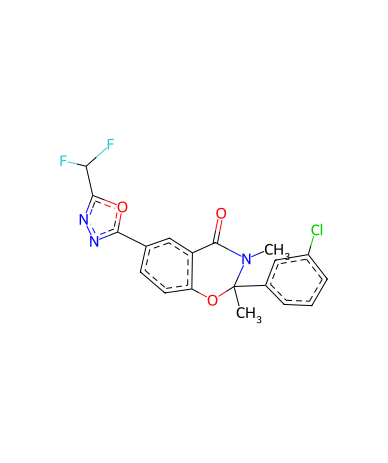 CN1C(=O)c2cc(-c3nnc(C(F)F)o3)ccc2OC1(C)c1cccc(Cl)c1